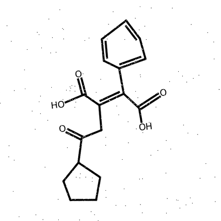 O=C(O)C(CC(=O)C1CCCC1)=C(C(=O)O)c1ccccc1